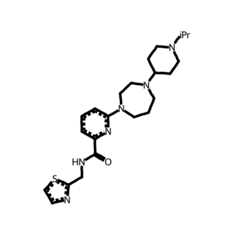 CC(C)N1CCC(N2CCCN(c3cccc(C(=O)NCc4nccs4)n3)CC2)CC1